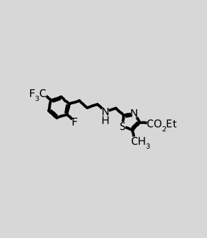 CCOC(=O)c1nc(CNCCCc2cc(C(F)(F)F)ccc2F)sc1C